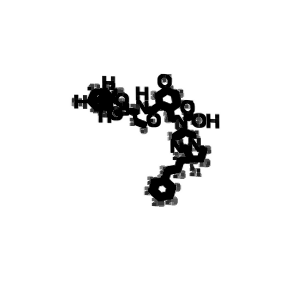 CC[C@H](NC(=O)C1=C(CN(C(=O)O)C2=CN=C3N(CC[C@@]3(C)C/C=C/c3ccccc3)C2)C=CC(=O)C1)B1O[C@@H]2C[C@@H]3C[C@@H](C3(C)C)[C@]2(C)O1